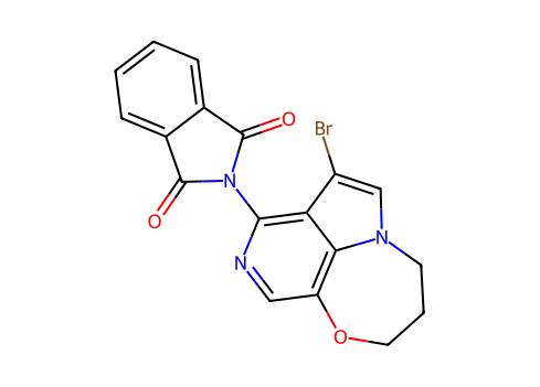 O=C1c2ccccc2C(=O)N1c1ncc2c3c1c(Br)cn3CCCO2